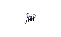 C/C(=C(\C=C/CC(C)(C)C)Nc1ccc(C(C)(C)C)cc1)c1ccc2c(c1C)C(C)(C)CCC2(C)C